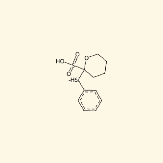 C[SiH](c1ccccc1)C1(S(=O)(=O)O)CCCCO1